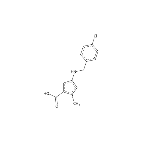 Cn1cc(NCc2ccc(Cl)cc2)cc1C(=O)O